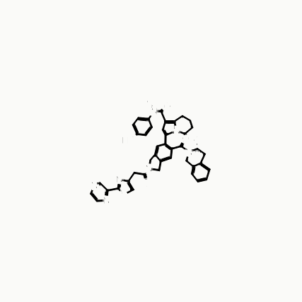 C[C@@H]1Cc2ccccc2CN1C(=O)c1cc2c(cc1-c1cc(C(=O)N(C)c3ccc(O)cc3)c3n1CCCC3)CN(C(=O)Cc1csc(-c3cnccn3)n1)C2